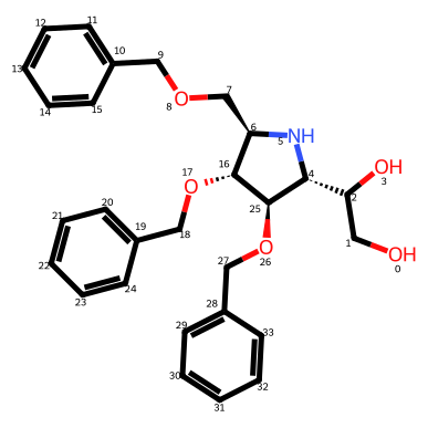 OCC(O)[C@H]1N[C@H](COCc2ccccc2)[C@@H](OCc2ccccc2)[C@@H]1OCc1ccccc1